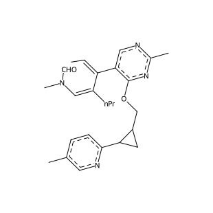 C/C=C(\C(=C/N(C)C=O)CCC)c1cnc(C)nc1OCC1CC1c1ccc(C)cn1